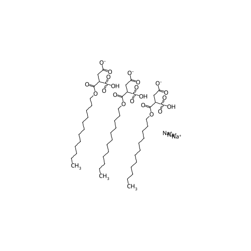 CCCCCCCCCCCCOC(=O)C(CC(=O)[O-])S(=O)(=O)O.CCCCCCCCCCCCOC(=O)C(CC(=O)[O-])S(=O)(=O)O.CCCCCCCCCCCCOC(=O)C(CC(=O)[O-])S(=O)(=O)O.[Na+].[Na+].[Na+]